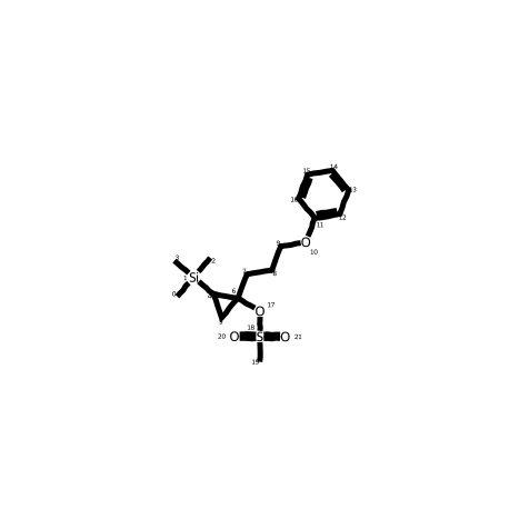 C[Si](C)(C)C1CC1(CCCOc1ccccc1)OS(C)(=O)=O